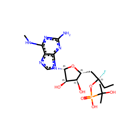 CC[C@](F)(C[C@H]1O[C@@H](n2cnc3c(NC)nc(N)nc32)[C@H](O)[C@@H]1O)OP(=O)(O)C(C)(C)O